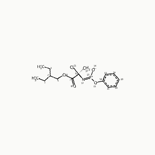 CCC(CC)COC(=O)[C@@](C)(Cl)N=[P+]([O-])Oc1ccccc1